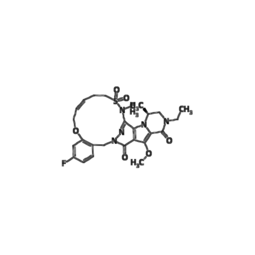 CCN1C[C@H](C)n2c(c(OC)c3c(=O)n4nc(c32)N(C)S(=O)(=O)CC/C=C\COc2cc(F)ccc2C4)C1=O